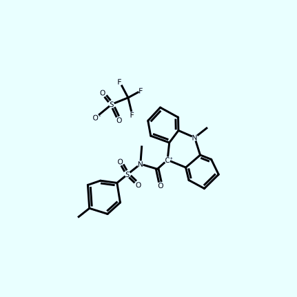 Cc1ccc(S(=O)(=O)N(C)C(=O)[c+]2c3ccccc3n(C)c3ccccc32)cc1.O=S(=O)([O-])C(F)(F)F